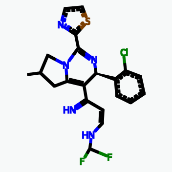 CC1CC2=C(C(=N)/C=C\NC(F)F)[C@H](c3ccccc3Cl)N=C(c3nccs3)N2C1